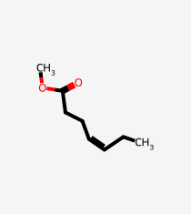 CC/C=C\CCC(=O)OC